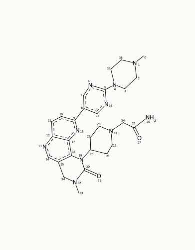 CN1CCN(c2ncc(-c3ccc4ncc5c(c4n3)N(C3CCN(CC(N)=O)CC3)C(=O)N(C)C5)cn2)CC1